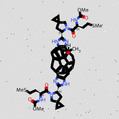 COC(=O)N[C@@H](CCSC)C(=O)N1CC2(CC2)C[C@H]1c1nc2cc(-c3cc4ccc3CCc3ccc(c(-c5ccc6[nH]c([C@@H]7CC8(CC8)CN7C(=O)[C@H](CCSC)NC(=O)OC)nc6c5)c3)C[C@H]4C)ccc2[nH]1